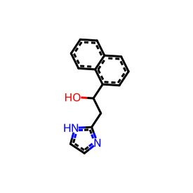 OC(Cc1ncc[nH]1)c1cccc2ccccc12